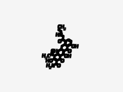 C=CCNCC(=O)c1ccc(O)c2c1CC1CC3C(C(=O)C(C(N)=O)=C(O)[C@H]3N(C)C)C(O)=C1C2=O